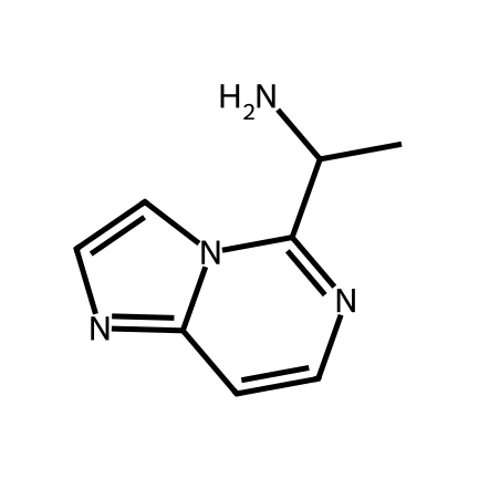 CC(N)c1nccc2nccn12